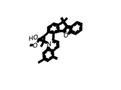 COC1(O)C2c3ccc4c(c3-c3ccc5c(C)cc(C)cc5[n+]3C21C)-c1oc2ccccc2c1C4(C)C